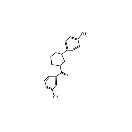 Cc1ccc(C2CCCN(C(=O)c3ccnc(C)c3)C2)cc1